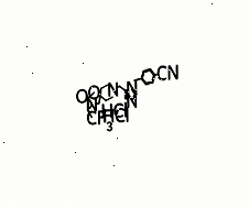 Cl.Cl.N#Cc1ccc(Cn2cncc2CN2CCC3(CC2)CN(CC(F)(F)F)C(=O)O3)cc1